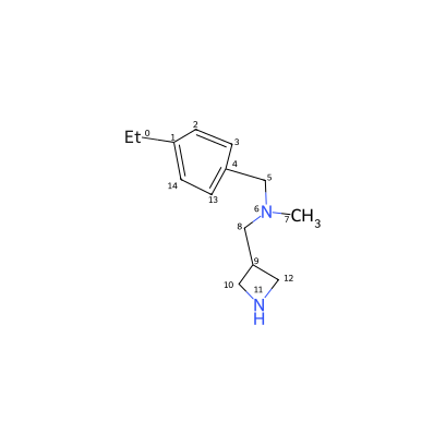 CCc1ccc(CN(C)CC2CNC2)cc1